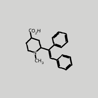 CN1CCC(C(=O)O)CC1/C(=C/c1ccccc1)c1ccccc1